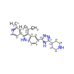 Cc1cc(-c2[nH]c3ccc(-c4nnc(C5CCNCC5)[nH]4)cc3c2C(C)C)ccn1